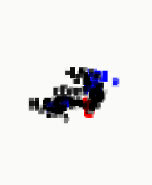 CCCCCNC1C=C(C)N=C(N)N1Cc1ccc(CC(=O)OCCCCN2CCC(N(C)C)CC2)cc1